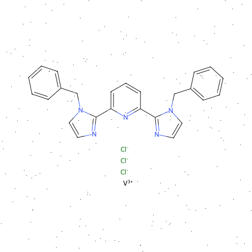 [Cl-].[Cl-].[Cl-].[V+3].c1ccc(Cn2ccnc2-c2cccc(-c3nccn3Cc3ccccc3)n2)cc1